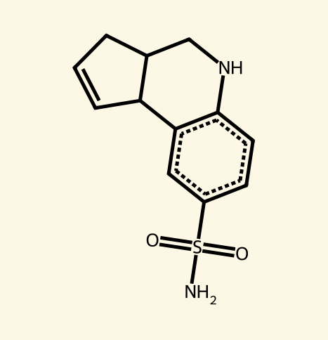 NS(=O)(=O)c1ccc2c(c1)C1C=CCC1CN2